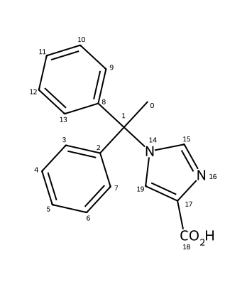 CC(c1ccccc1)(c1ccccc1)n1cnc(C(=O)O)c1